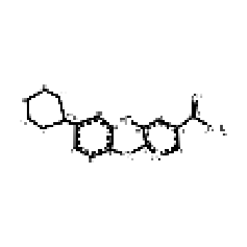 NC(=O)c1cnc(Oc2ccc(C3CCCCC3)cc2)c(F)c1